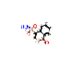 NS(=O)(=O)c1csc(=O)c2ccccc12